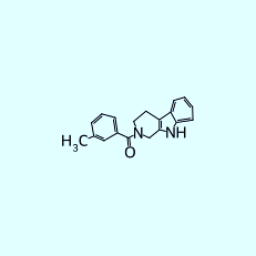 Cc1cccc(C(=O)N2CCc3c([nH]c4ccccc34)C2)c1